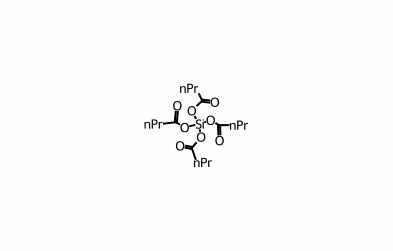 CCCC(=O)O[Si](OC(=O)CCC)(OC(=O)CCC)OC(=O)CCC